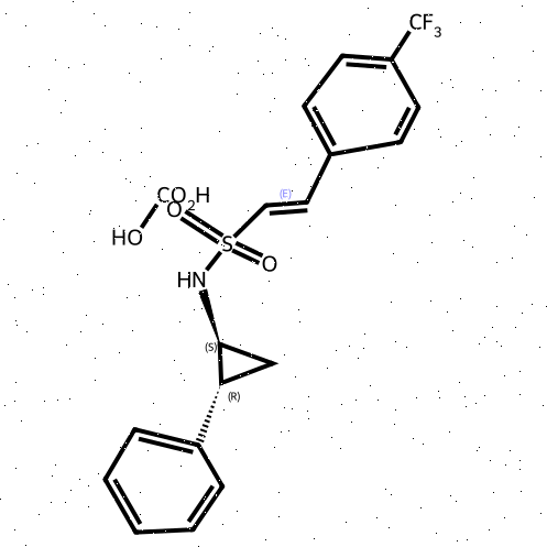 O=C(O)O.O=S(=O)(/C=C/c1ccc(C(F)(F)F)cc1)N[C@H]1C[C@@H]1c1ccccc1